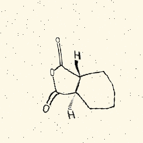 O=C1OC(=O)[C@@H]2CCCC[C@@H]12